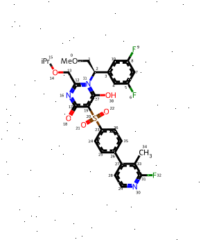 COC[C@@H](c1cc(F)cc(F)c1)n1c(COC(C)C)nc(=O)c(S(=O)(=O)c2ccc(-c3ccnc(F)c3C)cc2)c1O